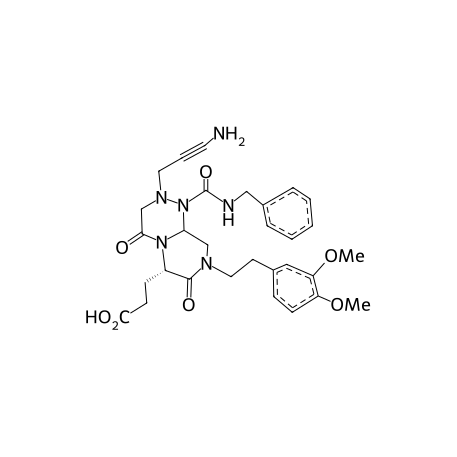 COc1ccc(CCN2CC3N(C(=O)CN(CC#CN)N3C(=O)NCc3ccccc3)[C@@H](CCC(=O)O)C2=O)cc1OC